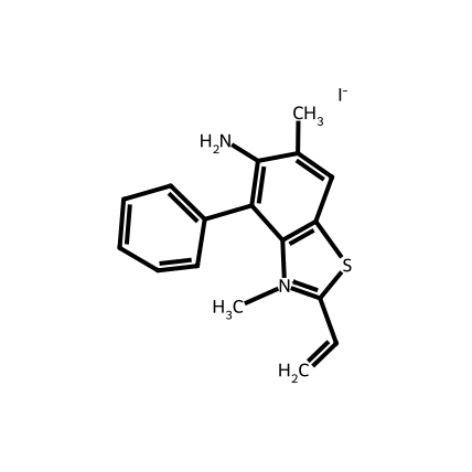 C=Cc1sc2cc(C)c(N)c(-c3ccccc3)c2[n+]1C.[I-]